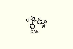 COc1ccc(-c2c(Cl)ncn2-c2ccc(S(C)(=O)=O)cn2)cc1